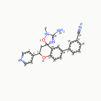 CN1OC2(CC(c3ccncc3)Oc3ccc(-c4cccc(C#N)c4)cc32)N=C1N